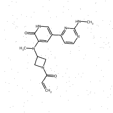 C=CC(=O)N1CC(N(C)c2cc(-c3ccnc(NC)n3)c[nH]c2=O)C1